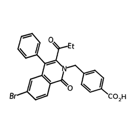 CCC(=O)c1c(-c2ccccc2)c2cc(Br)ccc2c(=O)n1Cc1ccc(C(=O)O)cc1